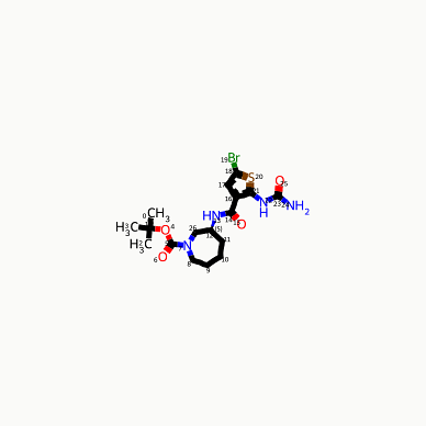 CC(C)(C)OC(=O)N1CCCC[C@H](NC(=O)c2cc(Br)sc2NC(N)=O)C1